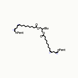 CCCCC/C=C\C/C=C\CCCCCCCC(=O)OCC(COC(=O)CCCCCCC/C=C\C/C=C\CCCCC)C(C)(C)C